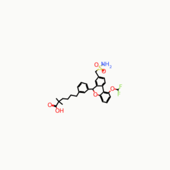 CC(C)(CCCCc1cccc(C2Oc3cccc(OC(F)F)c3-c3ccc(CS(N)(=O)=O)cc32)c1)C(=O)O